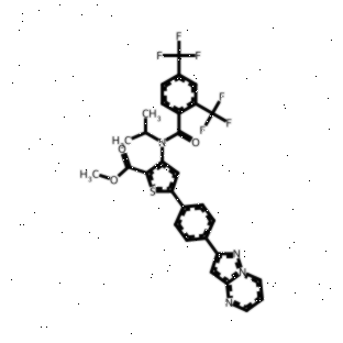 COC(=O)c1sc(-c2ccc(-c3cc4ncccn4n3)cc2)cc1N(C(=O)c1ccc(C(F)(F)F)cc1C(F)(F)F)C(C)C